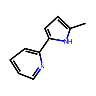 Cc1ccc(-c2ccccn2)[nH]1